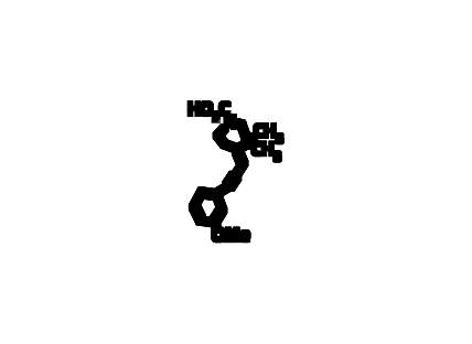 COc1cccc(C#C/C=C2\CCN(C(=O)O)CC2(C)C)c1